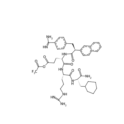 N=C(N)NCCC[C@H](NC(=O)[C@H](CCC(=O)OC(=O)C(F)(F)F)NC(=O)[C@@H](Cc1ccc(C(=N)N)cc1)c1ccc2ccccc2c1)C(=O)N[C@@H](CC1CCCCC1)C(N)=O